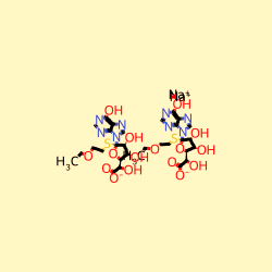 CCOCCS[C@@]1(n2cnc3c(O)ncnc32)O[C@H](C(O)C(=O)[O-])[C@@H](O)[C@H]1O.CCOCCS[C@@]1(n2cnc3c(O)ncnc32)O[C@H](C(O)C(=O)[O-])[C@@H](O)[C@H]1O.[Na+].[Na+]